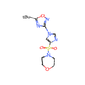 CC(C)(C)c1nc(-n2cnc(S(=O)(=O)N3CCOCC3)c2)no1